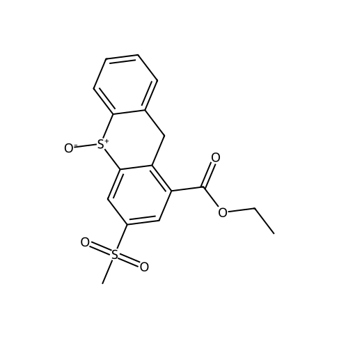 CCOC(=O)c1cc(S(C)(=O)=O)cc2c1Cc1ccccc1[S+]2[O-]